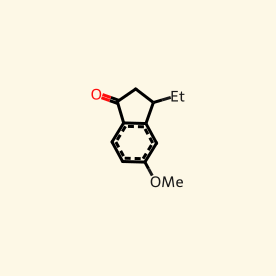 CCC1CC(=O)c2ccc(OC)cc21